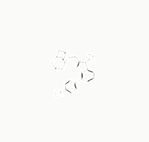 CCc1ccc(-c2cccc3c2C=C(CC2C4CC5CC(C4)CC2C5)[CH]3[Zr])cc1